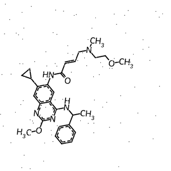 COCCN(C)CC=CC(=O)Nc1cc2c(NC(C)c3ccccc3)nc(OC)nc2cc1C1CC1